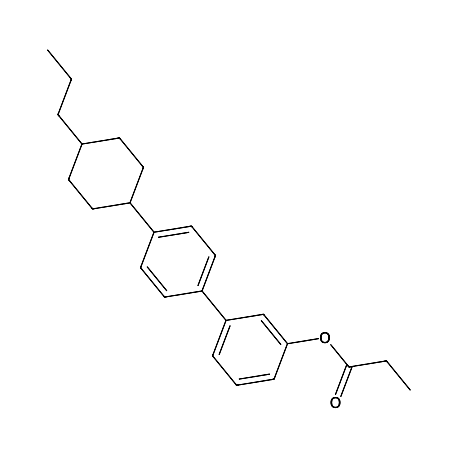 CCCC1CCC(c2ccc(-c3cccc(OC(=O)CC)c3)cc2)CC1